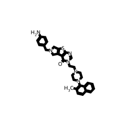 Cc1ccc2ccccc2c1N1CCN(CCn2cnc3sc4c(c3c2=O)CN(Cc2ccc(N)cc2)C4)CC1